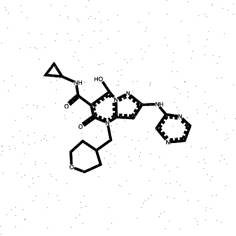 O=C(NC1CC1)c1c(O)n2nc(Nc3cnccn3)cc2n(CC2CCOCC2)c1=O